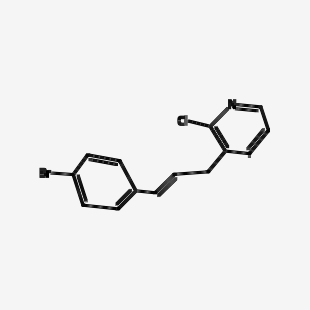 Clc1ncc[c]c1CC=Cc1ccc(Br)cc1